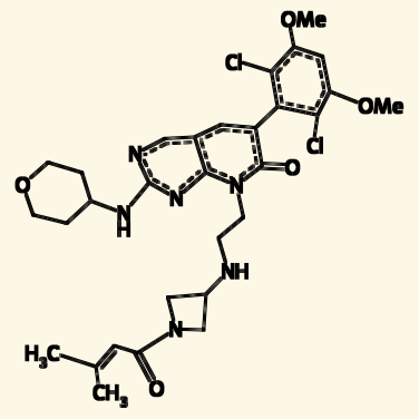 COc1cc(OC)c(Cl)c(-c2cc3cnc(NC4CCOCC4)nc3n(CCNC3CN(C(=O)C=C(C)C)C3)c2=O)c1Cl